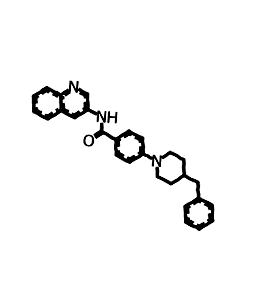 O=C(Nc1cnc2ccccc2c1)c1ccc(N2CCC(Cc3ccccc3)CC2)cc1